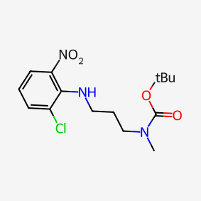 CN(CCCNc1c(Cl)cccc1[N+](=O)[O-])C(=O)OC(C)(C)C